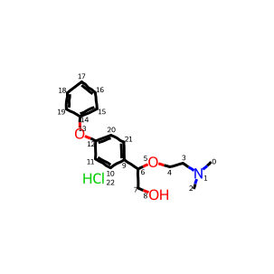 CN(C)CCOC(CO)c1ccc(Oc2ccccc2)cc1.Cl